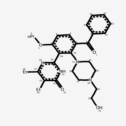 CCCOc1ccc(C(=O)c2ccccc2)c(N2CCN(CCO)CC2)c1-c1nc(CC)c(CC)c(=O)[nH]1